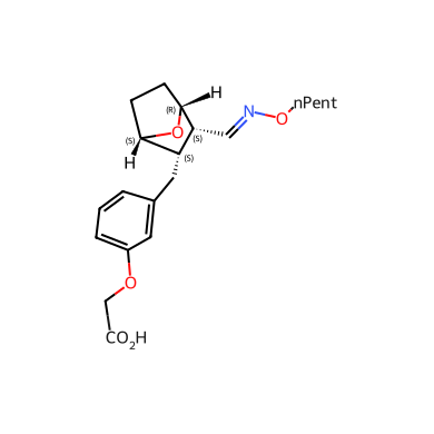 CCCCCON=C[C@@H]1[C@H](Cc2cccc(OCC(=O)O)c2)[C@@H]2CC[C@H]1O2